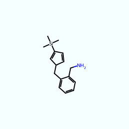 C[Si](C)(C)C1=C[C](Cc2ccccc2CN)C=C1